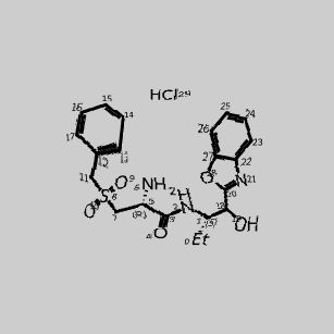 CC[C@H](NC(=O)[C@@H](N)CS(=O)(=O)Cc1ccccc1)C(O)c1nc2ccccc2o1.Cl